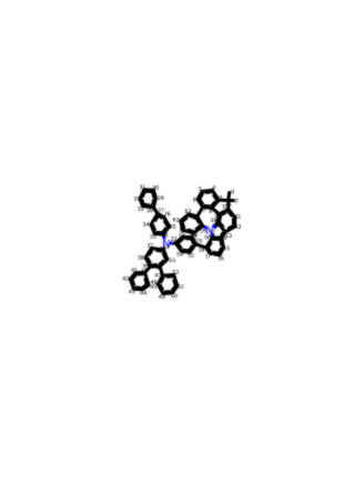 CC1(C)c2cccc3c2-c2c1ccc1c4cccc(-c5ccc(N(c6ccc(-c7ccccc7)cc6)c6ccc(-c7ccccc7)c(-c7ccccc7)c6)cc5)c4n(c21)-c1ccccc1-3